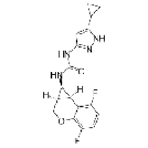 O=C(Nc1cc(C2CC2)[nH]n1)N[C@@H]1[C@@H]2COc3c(F)ccc(F)c3[C@@H]21